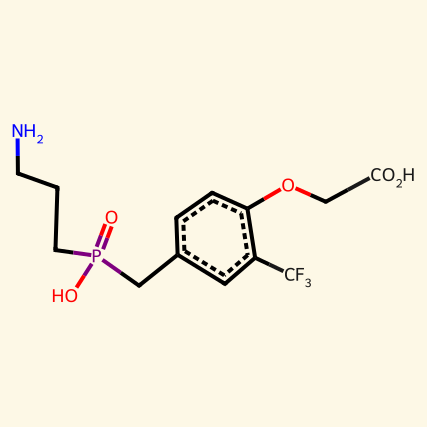 NCCCP(=O)(O)Cc1ccc(OCC(=O)O)c(C(F)(F)F)c1